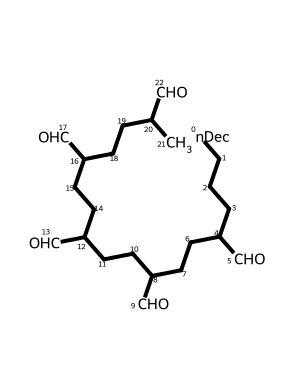 CCCCCCCCCCCCCC(C=O)CCC(C=O)CCC(C=O)CCC(C=O)CCC(C)C=O